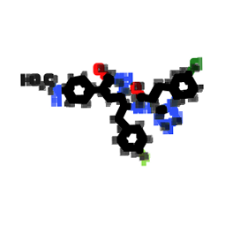 O=C(O)Nc1ccc(-c2cc(C(Cc3ccc(F)cc3)NC(=O)C=Cc3cc(Cl)ccc3-n3cnnn3)n[nH]c2=O)cc1